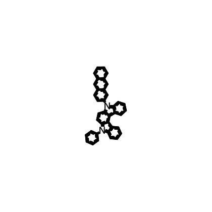 c1ccc(-n2c3ccccc3c3c4c5ccccc5n(-c5ccc6cc7ccccc7cc6c5)c4ccc32)cc1